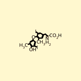 Cc1cc(Oc2c(C)cc(C[C@@H](N)C(=O)O)cc2I)cc(I)c1O